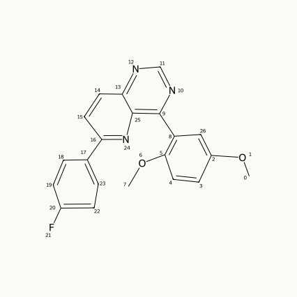 COc1ccc(OC)c(-c2ncnc3ccc(-c4ccc(F)cc4)nc23)c1